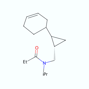 CCC(=O)N(C[C@H]1CC1C1CC=CCC1)C(C)C